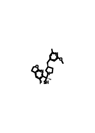 COc1cc(C[C@H]2CCN([C@@](C)(S)c3nc4c(cc3F)CCO4)C2)cc(C)n1